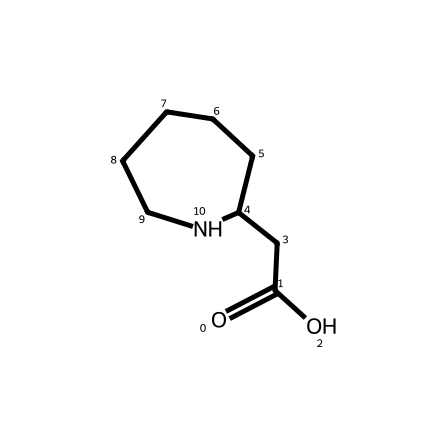 O=C(O)CC1CCCCCN1